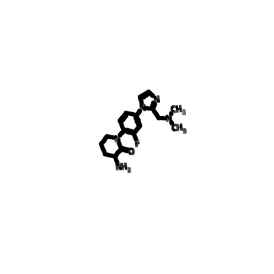 CN(C)Cc1nccn1-c1ccc(N2CCCC(N)C2=O)c(F)c1